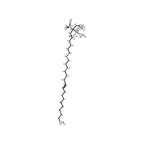 CCCCCCCCCC=CCCCCCCCCCCCCCC(CC)(P(=O)=O)[N+](C)(C)C